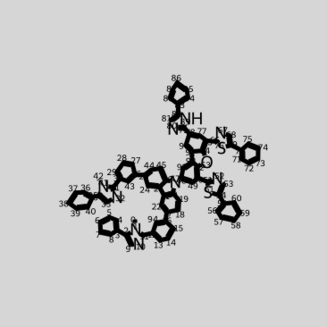 Cn1c(-c2ccccc2)cnc1-c1cccc(-c2ccc3c(c2)c2cc(-c4cccc(-c5ncc(-c6ccccc6)n5C)c4)ccc2n3-c2cc(-c3ncc(-c4ccccc4)s3)c3oc4c(-c5ncc(-c6ccccc6)s5)cc(-c5ncc(-c6ccccc6)[nH]5)cc4c3c2)c1